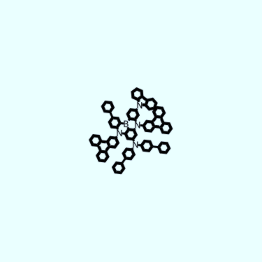 c1ccc(-c2ccc(N(c3ccc(-c4ccccc4)cc3)c3cc4c5c(c3)N(c3ccc6c7ccccc7c7ccccc7c6c3)c3cc(-n6c7ccccc7c7ccccc76)ccc3B5c3cc(-c5ccccc5)ccc3N4c3ccc4c5ccccc5c5ccccc5c4c3)cc2)cc1